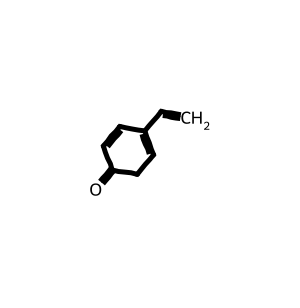 C=CC1=CCC(=O)C=C1